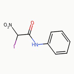 O=C(Nc1ccccc1)C(I)[N+](=O)[O-]